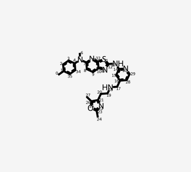 Cc1ccc(N(C)c2ccc3nc(Nc4cc(CNCCc5nc(C)oc5C)ccn4)sc3n2)cc1